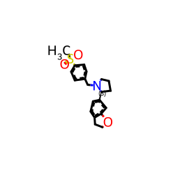 CS(=O)(=O)c1ccc(CN2CCC[C@H]2c2ccc3c(c2)OCC3)cc1